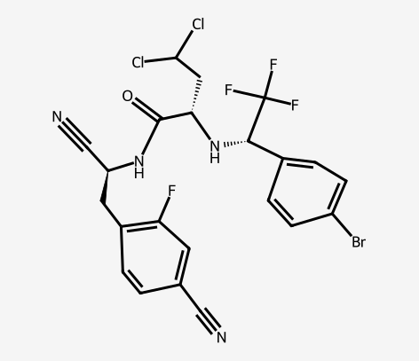 N#Cc1ccc(C[C@@H](C#N)NC(=O)[C@H](CC(Cl)Cl)N[C@@H](c2ccc(Br)cc2)C(F)(F)F)c(F)c1